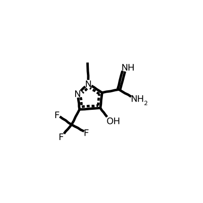 Cn1nc(C(F)(F)F)c(O)c1C(=N)N